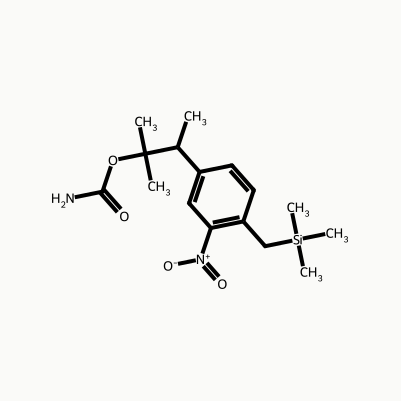 CC(c1ccc(C[Si](C)(C)C)c([N+](=O)[O-])c1)C(C)(C)OC(N)=O